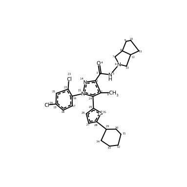 Cc1c(C(=O)NN2CC3CCCC3C2)nn(-c2ccc(Cl)cc2Cl)c1-c1ccc(C2CCCCC2)s1